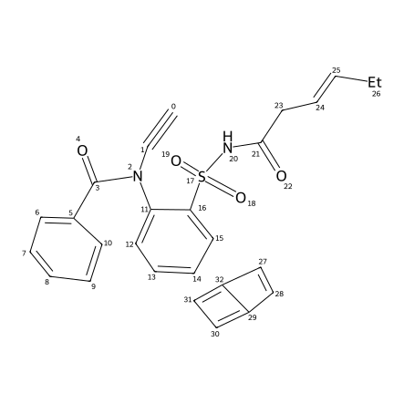 C#CN(C(=O)c1ccccc1)c1ccccc1S(=O)(=O)NC(=O)CC=CCC.c1cc2ccc1-2